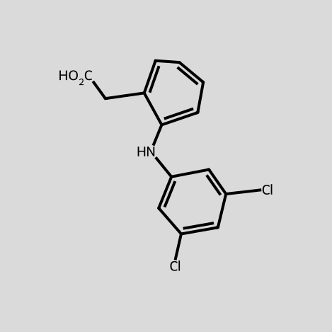 O=C(O)Cc1ccccc1Nc1cc(Cl)cc(Cl)c1